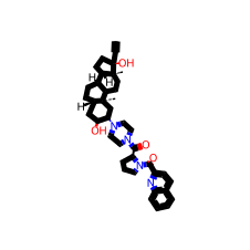 C#C[C@]1(O)CC[C@H]2[C@@H]3CC[C@H]4C[C@H](O)[C@@H](N5CCN(C(=O)[C@@H]6CCCN6C(=O)c6ccc7ccccc7n6)CC5)C[C@]4(C)C3CC[C@@]21C